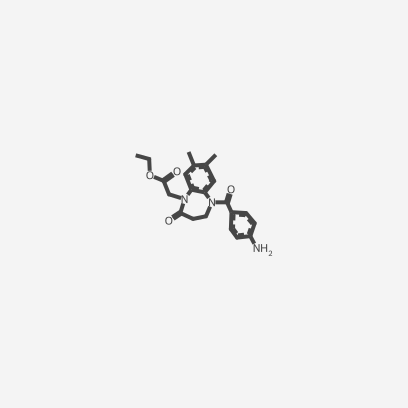 CCOC(=O)CN1C(=O)CCN(C(=O)c2ccc(N)cc2)c2cc(C)c(C)cc21